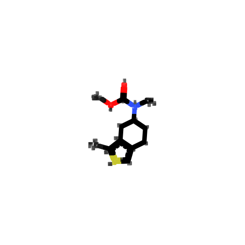 CN(C(=O)OC(C)(C)C)C1CCc2csc(C(F)(F)F)c2C1